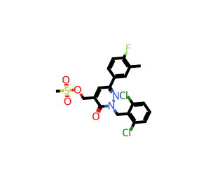 Cc1cc(-c2cc(COS(C)(=O)=O)c(=O)n(Cc3c(Cl)cccc3Cl)n2)ccc1F